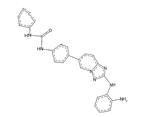 Nc1ccccc1Nc1nc2ccc(-c3ccc(NC(=O)Nc4ccccc4)cc3)cn2n1